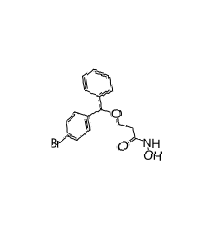 O=C(CCOC(c1ccccc1)c1ccc(Br)cc1)NO